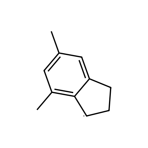 Cc1cc(C)c2c(c1)CC[CH]2